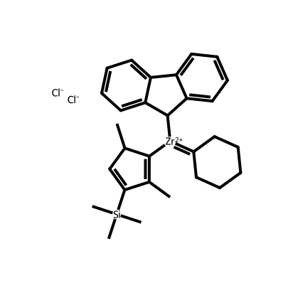 CC1=[C]([Zr+2](=[C]2CCCCC2)[CH]2c3ccccc3-c3ccccc32)C(C)C=C1[Si](C)(C)C.[Cl-].[Cl-]